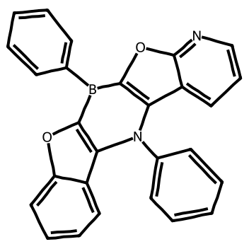 c1ccc(B2c3oc4ccccc4c3N(c3ccccc3)c3c2oc2ncccc32)cc1